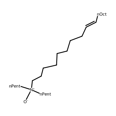 CCCCCCCCC=CCCCCCCCC[N+]([O-])(CCCCC)CCCCC